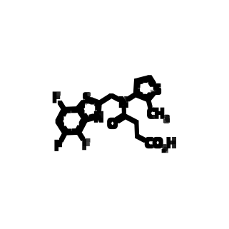 Cc1sccc1N(Cc1nc2c(F)c(F)cc(F)c2s1)C(=O)CCC(=O)O